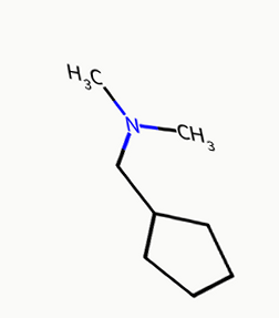 CN(C)CC1CCCC1